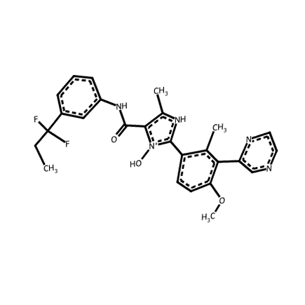 CCC(F)(F)c1cccc(NC(=O)c2c(C)[nH]c(-c3ccc(OC)c(-c4cnccn4)c3C)[n+]2O)c1